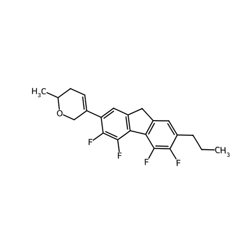 CCCc1cc2c(c(F)c1F)-c1c(cc(C3=CCC(C)OC3)c(F)c1F)C2